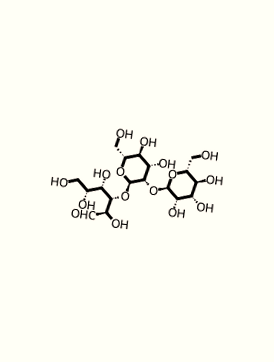 O=C[C@H](O)[C@@H](O[C@H]1O[C@H](CO)[C@@H](O)[C@H](O)[C@@H]1O[C@H]1O[C@H](CO)[C@@H](O)[C@H](O)[C@@H]1O)[C@@H](O)[C@H](O)CO